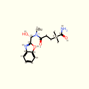 CCCCN(C(=O)[CH]C[Si](C)(C)C(N)=O)[C@@H](O)c1nc2ccccc2o1